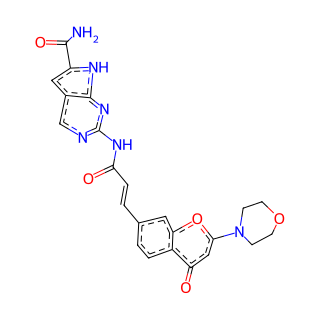 NC(=O)c1cc2cnc(NC(=O)C=Cc3ccc4c(=O)cc(N5CCOCC5)oc4c3)nc2[nH]1